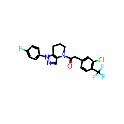 O=C(Cc1ccc(C(F)(F)F)c(Cl)c1)N1CCCc2c1cnn2-c1ccc(F)cc1